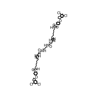 O=C(NCCCCNC(=O)NCc1cn(CCCCCCNS(=O)(=O)c2ccc(O[C@@H]3CCc4c(Cl)cc(Cl)cc43)cc2)nn1)NCc1cn(CCCCCCN[S+]([O-])c2ccc(O[C@@H]3CCc4c(Cl)cc(Cl)cc43)cc2)nn1